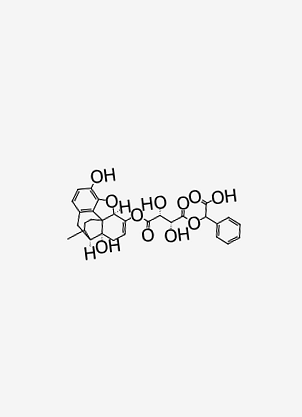 CC1CCC23c4c5ccc(O)c4O[C@H]2C(OC(=O)[C@H](O)[C@@H](O)C(=O)OC(C(=O)O)c2ccccc2)=CC[C@@]3(O)[C@H]1C5